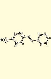 O=C(O)c1cnc(C=Cc2ccccc2)cn1